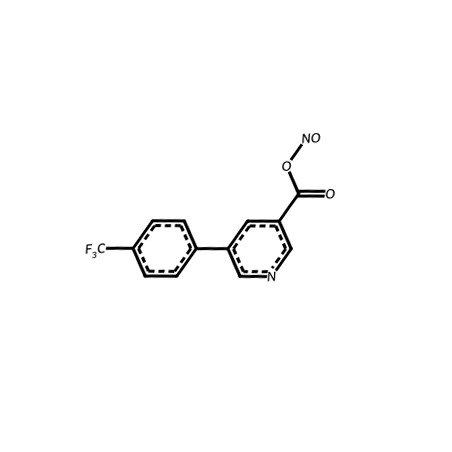 O=NOC(=O)c1cncc(-c2ccc(C(F)(F)F)cc2)c1